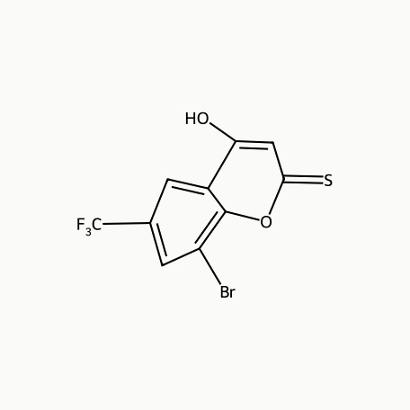 Oc1cc(=S)oc2c(Br)cc(C(F)(F)F)cc12